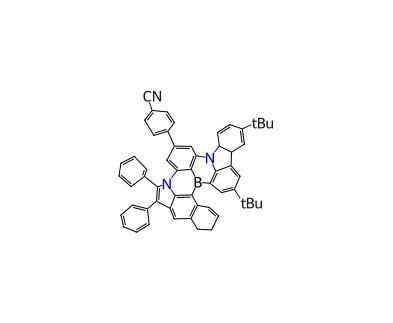 CC(C)(C)C1=CC2c3cc(C(C)(C)C)cc4c3N(c3cc(-c5ccc(C#N)cc5)cc5c3B4c3c4c(cc6c(-c7ccccc7)c(-c7ccccc7)n-5c36)CCC=C4)C2C=C1